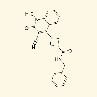 Cn1c(=O)c(C#N)c(N2CC(C(=O)NCc3ccccc3)C2)c2ccccc21